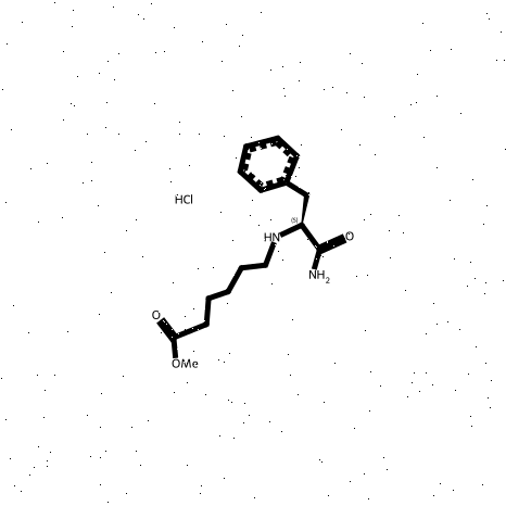 COC(=O)CCCCCN[C@@H](Cc1ccccc1)C(N)=O.Cl